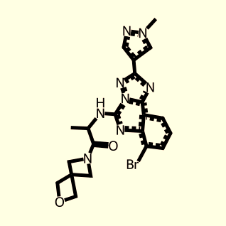 CC(Nc1nc2c(Br)cccc2c2nc(-c3cnn(C)c3)nn12)C(=O)N1CC2(COC2)C1